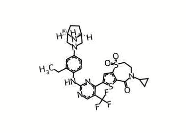 CCc1cc(N2C[C@H]3CC[C@@H](C2)N3)ccc1Nc1ncc(C(F)(F)F)c(-c2cc3c(s2)C(=O)N(C2CC2)CCS3(=O)=O)n1